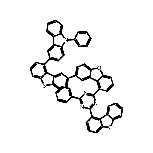 c1ccc(-c2nc(-c3cccc4oc5ccccc5c34)nc(-c3cccc4oc5ccc(-c6ccc7sc8cccc(-c9ccc%10c(c9)c9ccccc9n%10-c9ccccc9)c8c7c6)cc5c34)n2)cc1